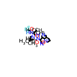 CC(C)(C)[C@H](NC(=O)C(F)(F)F)C(=O)N1C[C@H]2[C@@H]([C@H]1C(=O)NC(C#N)c1cncc3ccc[n+]([O-])c13)C2(C)C